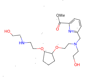 COC(=O)c1cccc(CN(CCO)CCOC2CCCC2OCCNCCO)n1